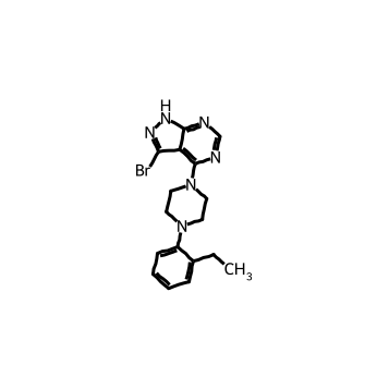 CCc1ccccc1N1CCN(c2ncnc3[nH]nc(Br)c23)CC1